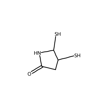 O=C1CC(S)C(S)N1